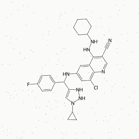 N#Cc1cnc2c(Cl)cc(NC(C3=CN(C4CC4)NN3)c3ccc(F)cc3)cc2c1NNC1CCCCC1